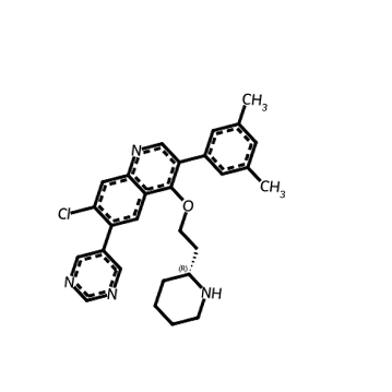 Cc1cc(C)cc(-c2cnc3cc(Cl)c(-c4cncnc4)cc3c2OCC[C@H]2CCCCN2)c1